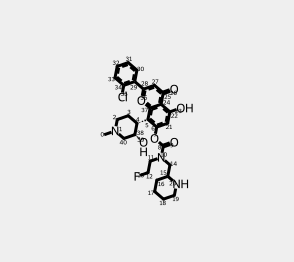 CN1CC[C@H](c2c(OC(=O)N(CCF)CC3CCCCN3)cc(O)c3c(=O)cc(-c4ccccc4Cl)oc23)[C@H](O)C1